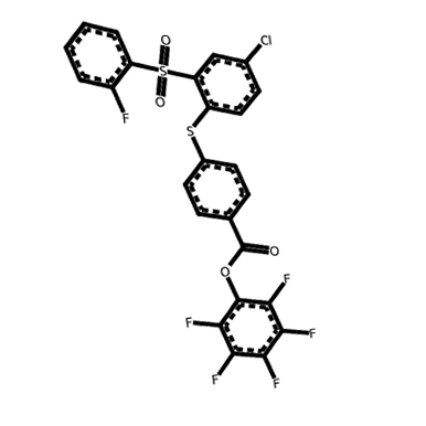 O=C(Oc1c(F)c(F)c(F)c(F)c1F)c1ccc(Sc2ccc(Cl)cc2S(=O)(=O)c2ccccc2F)cc1